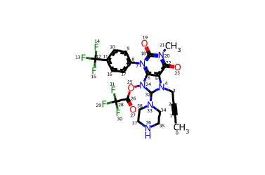 CC#CCN1c2c(n(-c3ccc(C(F)(F)F)cc3)c(=O)n(C)c2=O)N(OC(=O)C(F)(F)F)C1N1CCNCC1